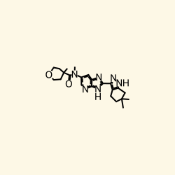 CN(C(=O)C1(C)CCOCC1)c1cnc2[nH]c(-c3n[nH]c4c3CCC(C)(C)C4)nc2c1